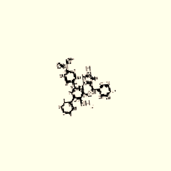 Nc1c(C2CCCCC2)cc(-c2ccc([N+](=O)[O-])cc2)nc1OC(c1ccccc1)c1nn[nH]n1